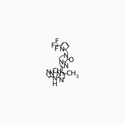 Cc1cnc(Nc2ccnn2C)nc1-c1cn2c(n1)C(=O)N(Cc1cccc(C(F)(F)F)n1)CC2